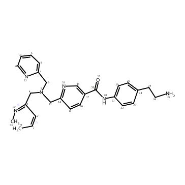 C/C=C\C(CN(Cc1ccccn1)Cc1ccc(C(=O)Nc2ccc(CCN)cc2)cn1)=N/C